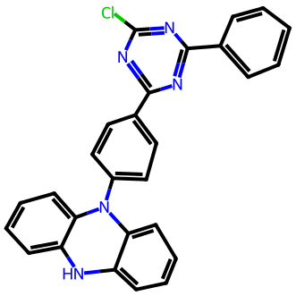 Clc1nc(-c2ccccc2)nc(-c2ccc(N3c4ccccc4Nc4ccccc43)cc2)n1